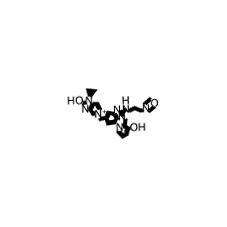 Oc1cccnc1Cn1c(NCCCN2CCOCC2)nc2cc(C[n+]3ccc4c(c3)nc(O)n4C3CC3)ccc21